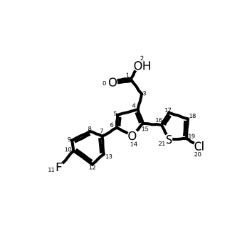 O=C(O)Cc1cc(-c2ccc(F)cc2)oc1-c1ccc(Cl)s1